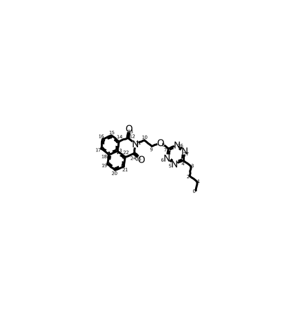 CCCCc1nnc(OCCN2C(=O)c3cccc4cccc(c34)C2=O)nn1